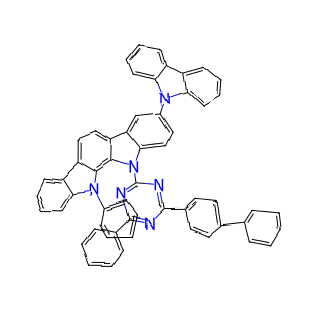 c1ccc(-c2ccc(-c3nc(-c4ccccc4)nc(-n4c5ccc(-n6c7ccccc7c7ccccc76)cc5c5ccc6c7ccccc7n(-c7ccccc7)c6c54)n3)cc2)cc1